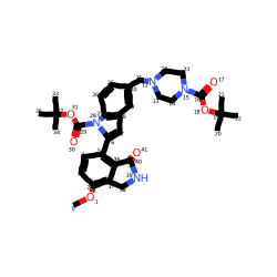 COc1ccc(-c2cc3cc(CN4CCN(C(=O)OC(C)(C)C)CC4)ccc3n2C(=O)OC(C)(C)C)c2c1CNC2=O